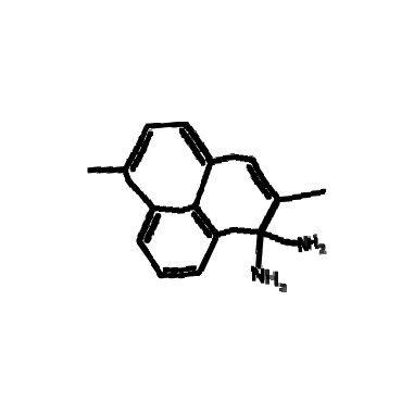 CC1=Cc2ccc(C)c3cccc(c23)C1(N)N